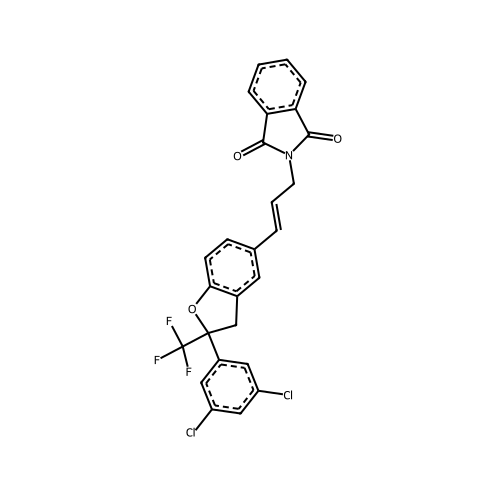 O=C1c2ccccc2C(=O)N1C/C=C/c1ccc2c(c1)CC(c1cc(Cl)cc(Cl)c1)(C(F)(F)F)O2